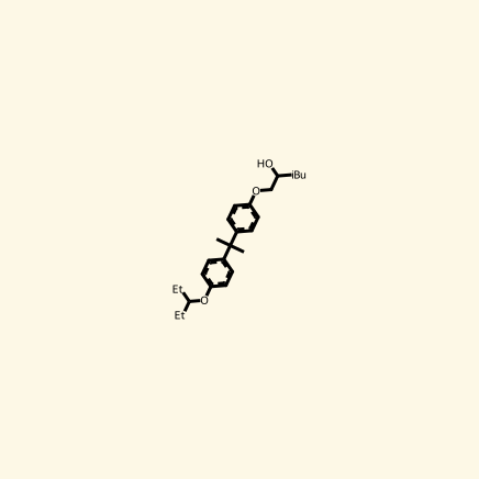 CCC(CC)Oc1ccc(C(C)(C)c2ccc(OCC(O)C(C)CC)cc2)cc1